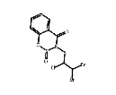 O=C1c2ccccc2OS(=O)N1SC(Cl)C(Br)Br